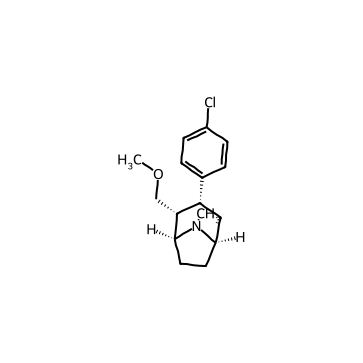 COC[C@@H]1[C@H](c2ccc(Cl)cc2)C[C@H]2CC[C@@H]1N2C